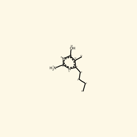 CCCCc1nc(N)nc(O)c1C